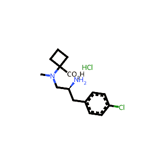 CN(C[C@@H](N)Cc1ccc(Cl)cc1)C1(C(=O)O)CCC1.Cl